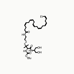 CC/C=C\C/C=C\C/C=C\C/C=C\C/C=C\C/C=C\CCC(=O)NCCSSC(C)(C)[C@H](NC(=O)OC(C)(C)C)C(=O)NC(CO)CO